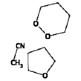 C1CCOC1.C1CCOOC1.CC#N